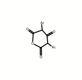 CC(=O)C1C(=O)OC(=O)C(C(C)=O)C1=O